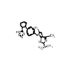 CCCc1cc2c(n1Cc1ccc(-c3ccccc3-c3nnn[nH]3)cc1)NC(N(C)C)N=C2C